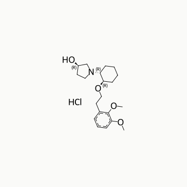 COc1cccc(CCO[C@@H]2CCCC[C@H]2N2CC[C@@H](O)C2)c1OC.Cl